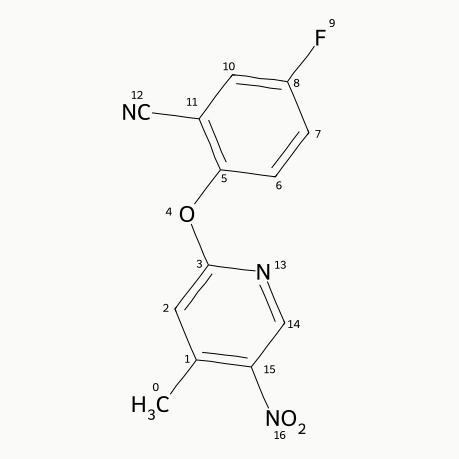 Cc1cc(Oc2ccc(F)cc2C#N)ncc1[N+](=O)[O-]